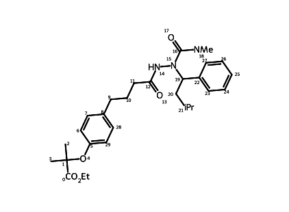 CCOC(=O)C(C)(C)Oc1ccc(CCCC(=O)NN(C(=O)NC)C(CC(C)C)c2ccccc2)cc1